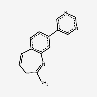 NC1=Nc2cc(-c3cncnc3)ccc2C=CC1